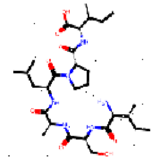 CC[C@H](C)[C@H](N)C(=O)N[C@@H](CO)C(=O)N[C@@H](C)C(=O)N[C@@H](CC(C)C)C(=O)N1CCC[C@H]1C(=O)N[C@H](C(=O)O)[C@@H](C)CC